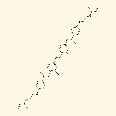 C=CC(=O)OCCOc1ccc(C(=O)Oc2ccc(/N=C/c3ccc(OC(=O)c4ccc(OCCOC(=O)C=C)cc4)c(OC)c3)c(C)c2)cc1